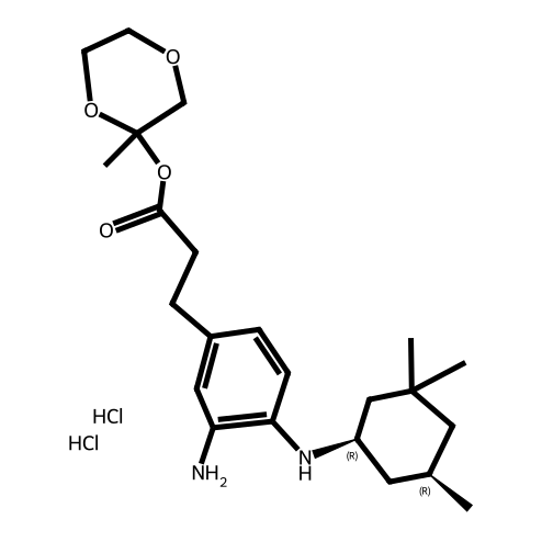 C[C@H]1C[C@@H](Nc2ccc(CCC(=O)OC3(C)COCCO3)cc2N)CC(C)(C)C1.Cl.Cl